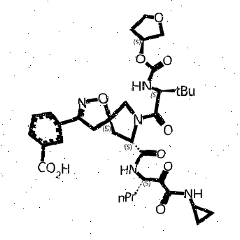 CCC[C@H](NC(=O)[C@@H]1C[C@]2(CC(c3cccc(C(=O)O)c3)=NO2)CN1C(=O)[C@@H](NC(=O)O[C@H]1CCOC1)C(C)(C)C)C(=O)C(=O)NC1CC1